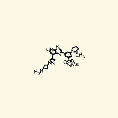 CNS(=O)(=O)c1cc(-c2cnc3[nH]cc(-c4cnn(C5CC(N)C5)c4)c3n2)cc(N2CCC[C@H]2C)c1